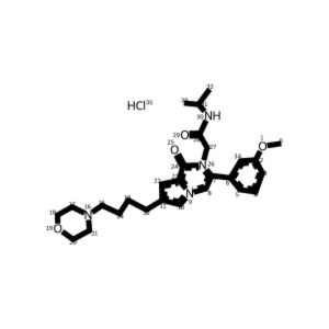 COc1cccc(-c2cn3cc(CCCCN4CCOCC4)cc3c(=O)n2CC(=O)NC(C)C)c1.Cl